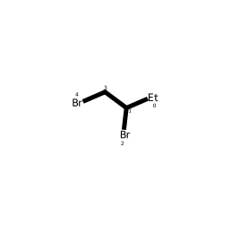 CCC(Br)[CH]Br